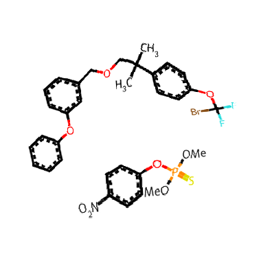 CC(C)(COCc1cccc(Oc2ccccc2)c1)c1ccc(OC(F)(F)Br)cc1.COP(=S)(OC)Oc1ccc([N+](=O)[O-])cc1